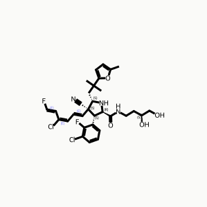 Cc1ccc(C(C)(C)C[C@@H]2N[C@@H](C(=O)NCC[C@H](O)CO)[C@H](c3cccc(Cl)c3F)[C@@]2(C#N)/C=C/C=C(Cl)\C=C\F)o1